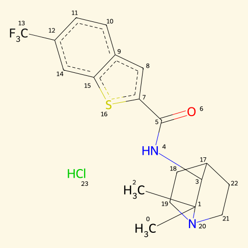 CC1(C)C(NC(=O)c2cc3ccc(C(F)(F)F)cc3s2)C2CCN1CC2.Cl